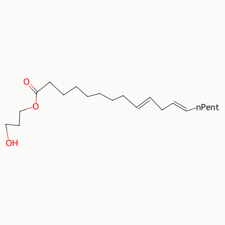 CCCCCC=CCC=CCCCCCCCC(=O)OCCCO